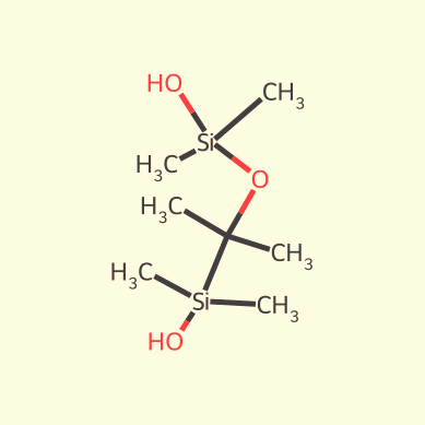 CC(C)(O[Si](C)(C)O)[Si](C)(C)O